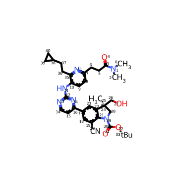 CN(C)C(=O)CCc1ccc(Nc2nccc(-c3cc(C#N)c4c(c3)[C@@](C)(CO)CN4C(=O)OC(C)(C)C)n2)c(CCC2CC2)n1